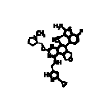 CN1CCC[C@H]1COc1nc(NCc2cc(C3CC3)n[nH]2)c2c3c(c(-c4ccc(F)c5sc(N)c(C#N)c45)c(Cl)c2n1)COC3